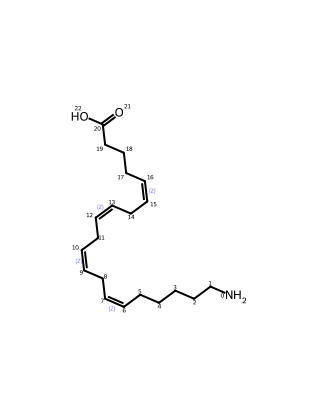 NCCCCC/C=C\C/C=C\C/C=C\C/C=C\CCCC(=O)O